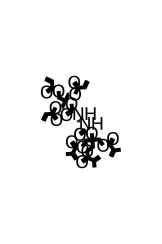 C=CC(=O)OCC(COC(=O)C=C)(COC(=O)C=C)OC(=O)NCNC(=O)OC(COC(=O)C(=C)C)(COC(=O)C(=C)C)COC(=O)C(=C)C